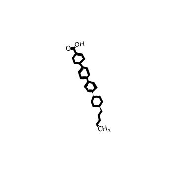 CCCCC[C@H]1CC[C@H](c2ccc(-c3ccc(C4CC=C(C(=O)O)CC4)cc3)cc2)CC1